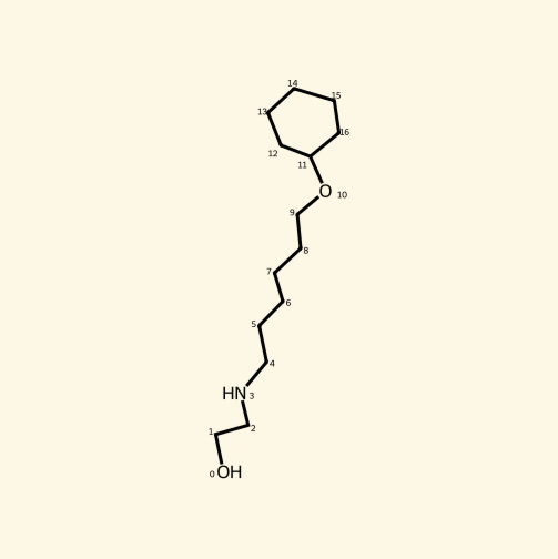 OCCNCCCCCCOC1CCCCC1